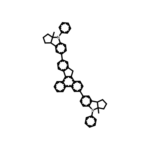 CC12CCCC1c1cc(-c3ccc4c(c3)Cc3c-4c4ccccc4c4cc(-c5ccc6c(c5)C5CCCC5(C)N6c5ccccc5)ccc34)ccc1N2c1ccccc1